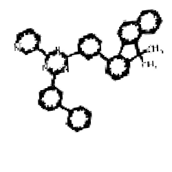 CC1(C)c2cccc(-c3cccc(-c4nc(-c5cccnc5)nc(-c5cccc(-c6ccccc6)c5)n4)c3)c2-c2ccc3ccccc3c21